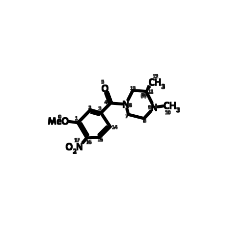 COc1cc(C(=O)N2CCN(C)[C@H](C)C2)ccc1[N+](=O)[O-]